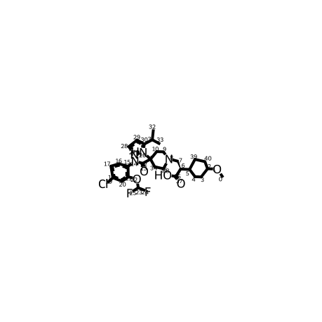 COC1CCC([C@H](CN2CCC(C(=O)Nc3ccc(Cl)cc3OC(F)F)(n3nccc3C(C)C)CC2)C(=O)O)CC1